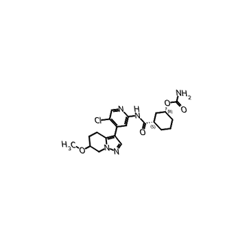 COC1CCc2c(-c3cc(NC(=O)[C@H]4CCC[C@@H](OC(N)=O)C4)ncc3Cl)cnn2C1